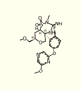 COC[C@H]1C[C@@H]2[C@](c3cc(Oc4cncc(OC)n4)ccc3F)(CO1)NC(=N)N(C)S2(=O)=O